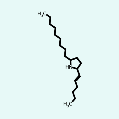 CCCCC=CC1CCC(CCCCCCCCC)N1